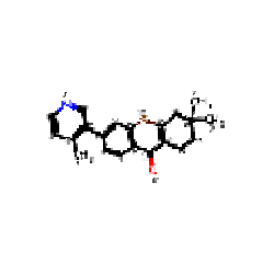 Cc1ccncc1-c1ccc2c(=O)c3c(sc2c1)CC(C)(C)CC3